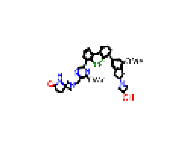 COc1cc(-c2cccc(-c3cccc(-c4cnc(CN5CC6(CCC(=O)N6)C5)c(OC)n4)c3Cl)c2Cl)cc2c1CC(N1CC(O)C1)C2